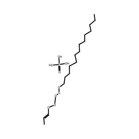 CC=COOOOOCCCCCCCCCCCCCC.O=P(O)(O)O